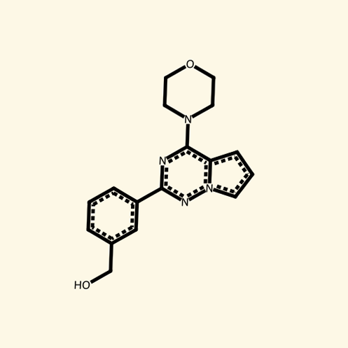 OCc1cccc(-c2nc(N3CCOCC3)c3cccn3n2)c1